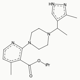 Cc1ccnc(N2CCN(C(C)c3c[nH]nc3C)CC2)c1C(=O)OC(C)C